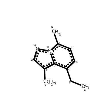 Cc1ccc(CO)c2c(C(=O)O)cnn12